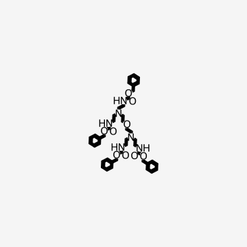 O=C(NCCN(CCNC(=O)OCc1ccccc1)CCOCCN(CCNC(=O)OCc1ccccc1)CCNC(=O)OCc1ccccc1)OCc1ccccc1